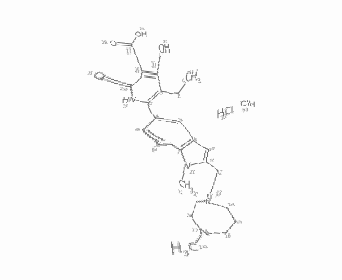 CCc1c(-c2ccc3c(c2)cc(CN2CCCN(C)CC2)n3C)[nH]c(=O)c(C(=O)O)c1O.Cl.Cl